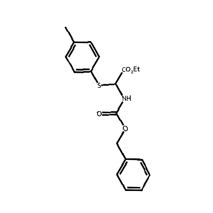 CCOC(=O)C(NC(=O)OCc1ccccc1)Sc1ccc(C)cc1